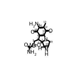 CO[C@@]12C(COC(N)=O)C3=C(C(=O)C(C)=C(N)C3=O)N1CC1N[C@@H]12